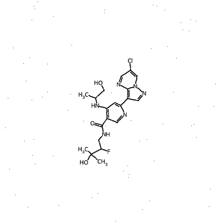 CC(CO)Nc1cc(-c2cnn3cc(Cl)cnc23)ncc1C(=O)NCC(F)C(C)(C)O